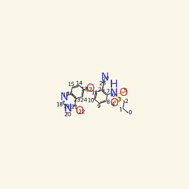 CCCS(=O)(=O)Nc1cccc(Oc2ccc3ncn(C)c(=O)c3c2)c1C#N